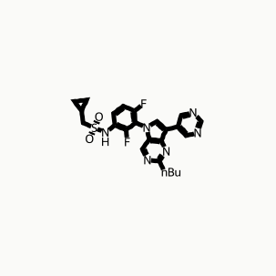 CCCCc1ncc2c(n1)c(-c1cncnc1)cn2-c1c(F)ccc(NS(=O)(=O)CC2CC2)c1F